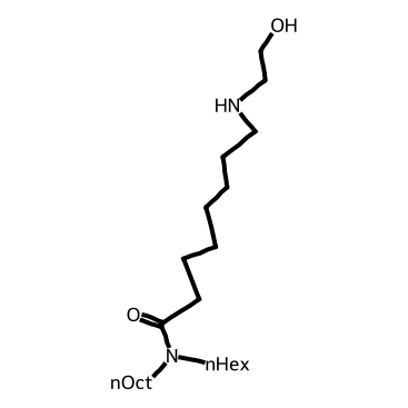 CCCCCCCCN(CCCCCC)C(=O)CCCCCCCNCCO